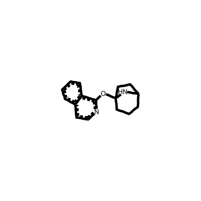 c1ccc2c(OC34CCCC(CC3)N4)nccc2c1